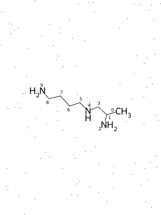 CC(N)CNCCCCN